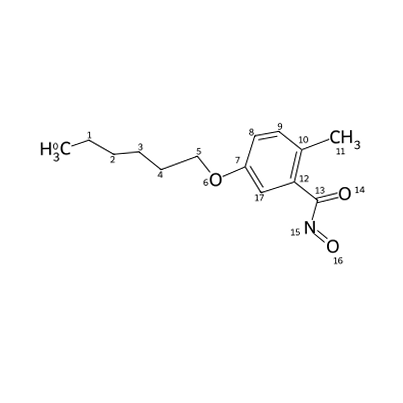 CCCCCCOc1ccc(C)c(C(=O)N=O)c1